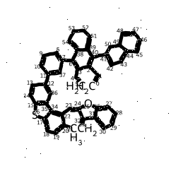 C=Cc1c(C=C)c(-c2cccc(-c3ccc4sc5ccc(C)c(/C=c6/oc7ccccc7c6=C)c5c4c3)c2)c2c(c1C1=CC=C3C=CC=CC3C1)=CCCC=2